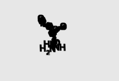 COCCCOc1cc(CCC(=O)NC(=N)N)ccc1-c1cccc(CN2CCOCC2)c1